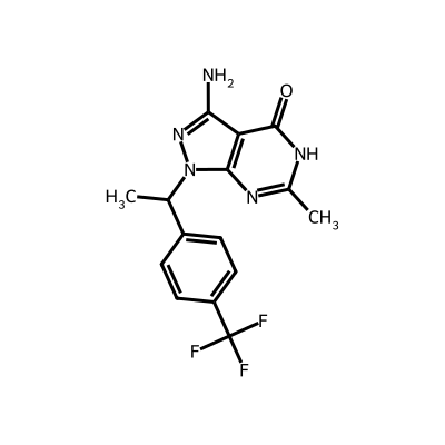 Cc1nc2c(c(N)nn2C(C)c2ccc(C(F)(F)F)cc2)c(=O)[nH]1